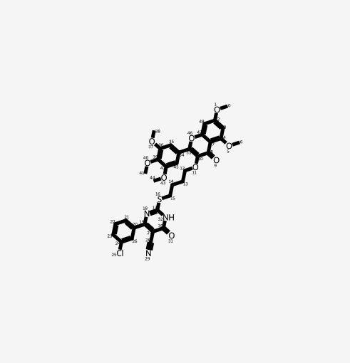 COc1cc(OC)c2c(=O)c(OCCCCSc3nc(-c4cccc(Cl)c4)c(C#N)c(=O)[nH]3)c(-c3cc(OC)c(OC)c(OC)c3)oc2c1